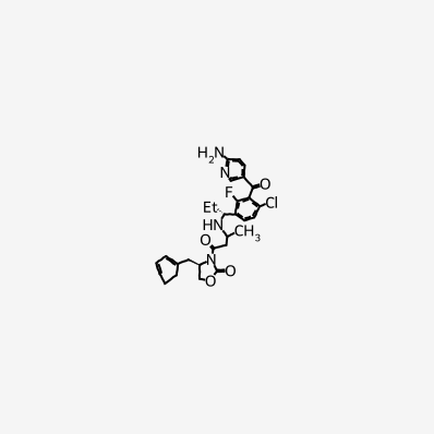 CC[C@@H](NC(C)CC(=O)N1C(=O)OC[C@H]1CC1=CC=CCC1)c1ccc(Cl)c(C(=O)c2ccc(N)nc2)c1F